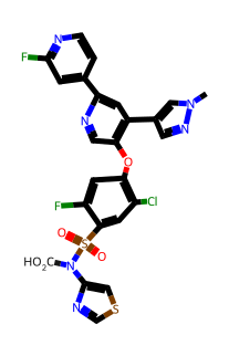 Cn1cc(-c2cc(-c3ccnc(F)c3)ncc2Oc2cc(F)c(S(=O)(=O)N(C(=O)O)c3cscn3)cc2Cl)cn1